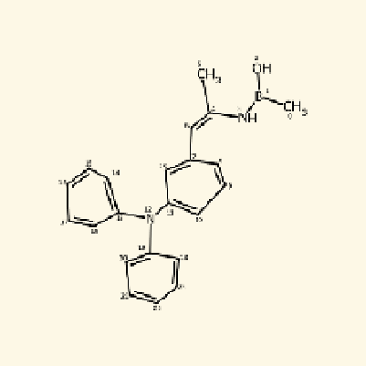 CB(O)NC(C)=Cc1cccc(N(c2ccccc2)c2ccccc2)c1